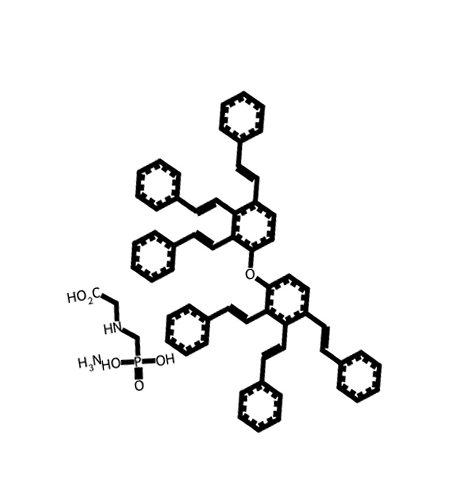 C(=C\c1ccc(Oc2ccc(/C=C/c3ccccc3)c(/C=C/c3ccccc3)c2/C=C/c2ccccc2)c(/C=C/c2ccccc2)c1/C=C/c1ccccc1)/c1ccccc1.N.O=C(O)CNCP(=O)(O)O